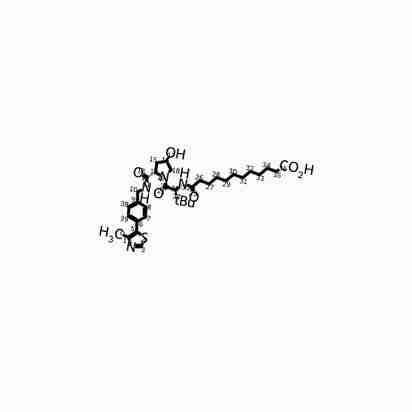 Cc1ncsc1-c1ccc(CNC(=O)[C@@H]2C[C@@H](O)CN2C(=O)[C@@H](NC(=O)CCCCCCCCCCC(=O)O)C(C)(C)C)cc1